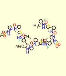 COCC(Nc1cccc(C(=O)N2CCc3cc(C(=O)Nc4c(F)ccc(-c5ccc(C(=O)N6CCc7cc(C(=O)Nc8c(C)cccc8F)sc7-c7ccccc76)nc5N5CCS(=O)(=O)CC5)c4C)sc3-c3ccccc32)n1)C1CC1c1cc(C)c(NC(=O)c2cc3c(s2)-c2ccccc2N(C(=O)c2cccc(NCCS(C)(=O)=O)n2)CC3)c(F)c1